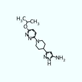 CC(C)Oc1ccc(N2CCC(c3cc(N)[nH]n3)CC2)nn1